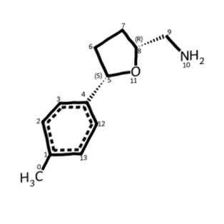 Cc1ccc([C@@H]2CC[C@H](CN)O2)cc1